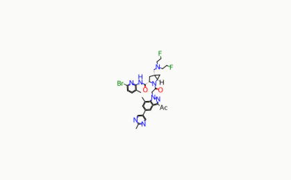 CC(=O)c1nn(CC(=O)N2[C@H](C(=O)Nc3nc(Br)ccc3C)C[C@@]3(CN(CCF)CCF)C[C@@H]23)c2c(C)cc(-c3cnc(C)nc3)cc12